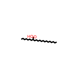 CCCCCCCCCCCCCCC(CCCCCCC)C(=O)O